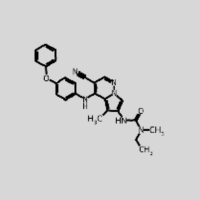 CCN(C)C(=O)Nc1cn2ncc(C#N)c(Nc3ccc(Oc4ccccc4)cc3)c2c1C